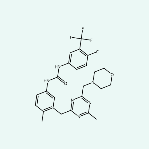 Cc1nc(Cc2cc(NC(=O)Nc3ccc(Cl)c(C(F)(F)F)c3)ccc2C)nc(CN2CCOCC2)n1